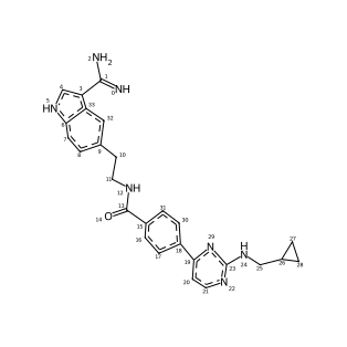 N=C(N)c1c[nH]c2ccc(CCNC(=O)c3ccc(-c4ccnc(NCC5CC5)n4)cc3)cc12